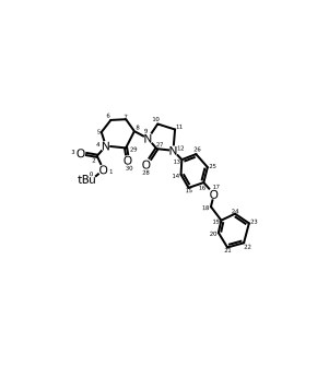 CC(C)(C)OC(=O)N1CCCC(N2CCN(c3ccc(OCc4ccccc4)cc3)C2=O)C1=O